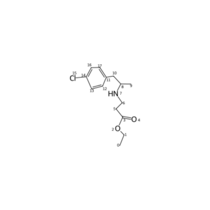 CCOC(=O)CCNC(C)Cc1ccc(Cl)cc1